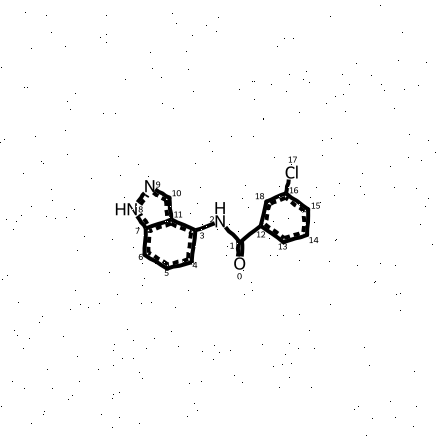 O=C(Nc1cccc2[nH]ncc12)c1cccc(Cl)c1